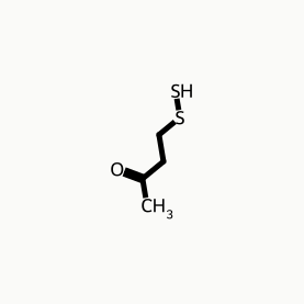 CC(=O)CCSS